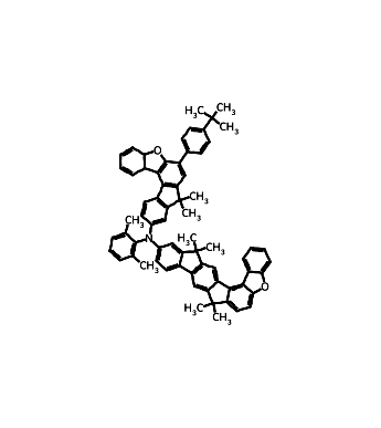 Cc1cccc(C)c1N(c1ccc2c(c1)C(C)(C)c1cc3c(cc1-2)C(C)(C)c1ccc2oc4ccccc4c2c1-3)c1ccc2c(c1)C(C)(C)c1cc(-c3ccc(C(C)(C)C)cc3)c3c(c1-2)C1C=CC=CC1O3